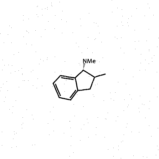 CN[C@H]1c2ccccc2CC1C